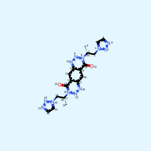 C[C@H](Cn1ccnn1)n1nnc2cc3c(=O)n([C@H](C)Cn4ccnn4)nnc3cc2c1=O